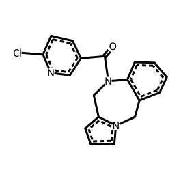 O=C(c1ccc(Cl)nc1)N1Cc2cccn2Cc2ccccc21